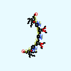 CCCCC(CC)C[Si]1(CC(CC)CCCC)c2cc(C=O)sc2-c2sc(-c3ccc(-c4cc5c(s4)-c4sc(-c6ccc(-c7cc8c(s7)-c7sc(-c9ccc(-c%10cc%11c(s%10)-c%10sc(C=O)cc%10[Si]%11(CC(CC)CCCC)CC(CC)CCCC)c%10nsnc9%10)cc7[Si]8(CC(CC)CCCC)CC(CC)CCCC)c7nsnc67)cc4[Si]5(CC(CC)CCCC)CC(CC)CCCC)c4nsnc34)cc21